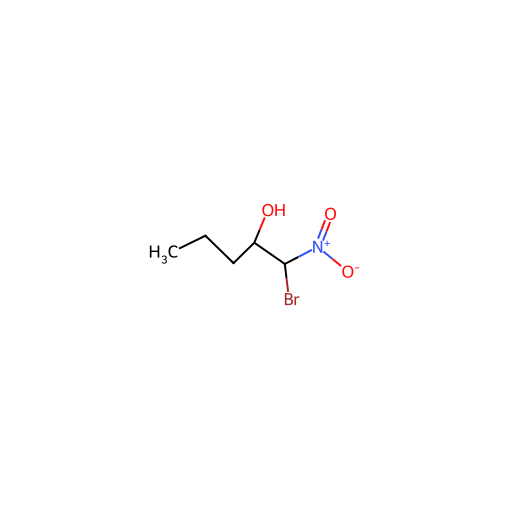 CCCC(O)C(Br)[N+](=O)[O-]